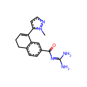 Cn1nccc1C1=CCCc2ccc(C(=O)N=C(N)N)cc21